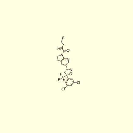 O=C(NCCF)N1CCc2cc(C3=NOC(c4cc(Cl)cc(Cl)c4)(C(F)(F)F)C3)ccc21